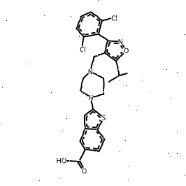 CC(C)c1onc(-c2c(Cl)cccc2Cl)c1CN1CCN(c2cc3cc(C(=O)O)ccc3s2)CC1